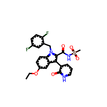 CCOc1ccc2c(c1)c(-c1ccc[nH]c1=O)c(C(=O)NS(C)(=O)=O)n2Cc1cc(F)ccc1F